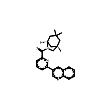 CC1(C)C[C@@H]2C[C@@](C)(CN2C(=O)c2cccc(-c3cnc4ccccc4c3)n2)C1